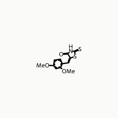 COc1ccc(C=C2SC(=S)NC2=O)c(OC)c1